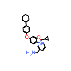 NCC1=C[N+](C(=O)C2CC2)(c2ccc(Oc3ccc(C4CCCCC4)cc3)cc2)CC=C1